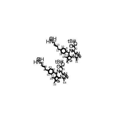 Cc1sc2c(c1C)C(c1ccc(CC=CCNO)cc1)=N[C@@H](CC(=O)OC(C)(C)C)c1nnc(C)n1-2.Cc1sc2c(c1C)C(c1ccc(CC=CCNO)cc1)=N[C@H](CC(=O)OC(C)(C)C)c1nnc(C)n1-2